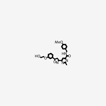 COc1ccc(CNC(=O)c2cc(C3=NOC(c4cccc(OCCO)c4)C3)nc(C)n2)cc1